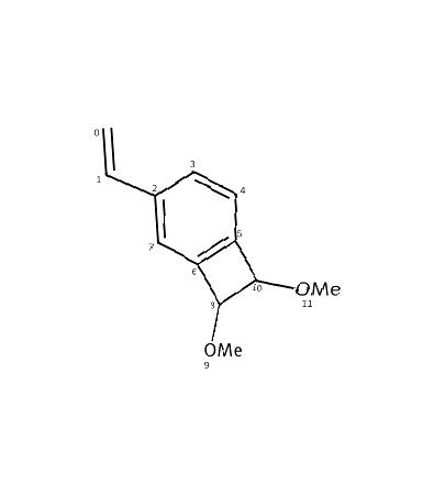 C=Cc1ccc2c(c1)C(OC)C2OC